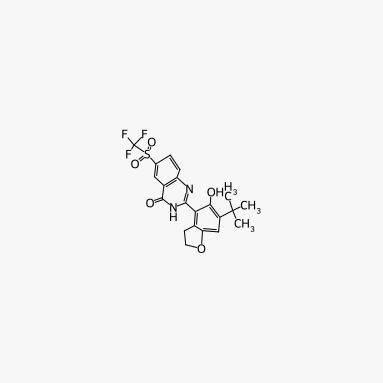 CC(C)(C)c1cc2c(c(-c3nc4ccc(S(=O)(=O)C(F)(F)F)cc4c(=O)[nH]3)c1O)CCO2